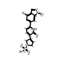 CCn1ncc2c(F)cc(-c3ccc(C4=CCN(S(=O)(=O)C(C)C)C4)c(=O)[nH]3)cc21